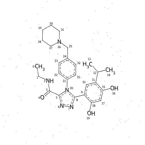 CCNC(=O)c1nnc(-c2cc(C(C)C)c(O)cc2O)n1-c1ccc(CN2CCCCC2)cc1